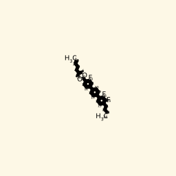 C/C=C/CCC1COC(c2ccc(-c3ccc(-c4ccc(CCCC)c(F)c4F)cc3)cc2F)OC1